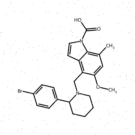 COc1cc(C)c2c(ccn2C(=O)O)c1CN1CCCCC1c1ccc(Br)cc1